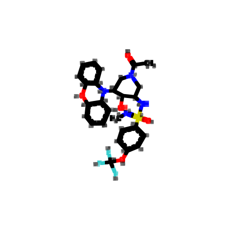 CN=S(=O)(NC1CN(C(C)=O)CC(N2c3ccccc3Oc3ccccc32)C1O)c1ccc(OC(F)(F)F)cc1